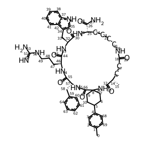 Cc1ccc(C2CCC3(CC2)NC(=O)[C@@H](C)CCC(=O)NCCCC[C@@H](C(N)=O)NC(=O)[C@H](Cc2c[nH]c4ccccc24)NC(=O)[C@H](CCCNC(=N)N)NC(=O)[C@@H](Cc2ccccc2)NC3=O)cc1